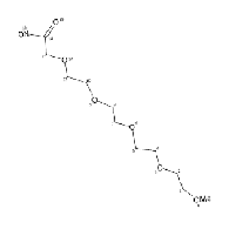 COCCOCCOCCOCCOCC(=O)N=O